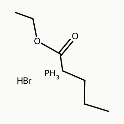 Br.CCCCC(=O)OCC.P